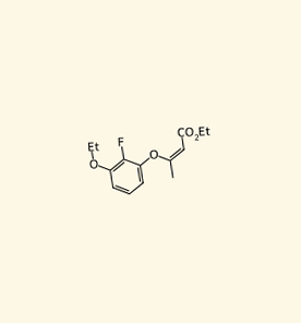 CCOC(=O)/C=C(/C)Oc1cccc(OCC)c1F